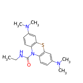 CCNC(=O)N1c2ccc(N(C)C)cc2Sc2cc(N(C)C)ccc21